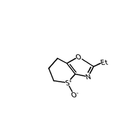 CCc1nc2c(o1)CCC[S+]2[O-]